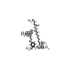 CO[Si](CCCCCCCCCCCNCCN)(OC)OC.CO[Si](CCCOc1cccc(N)c1)(OC)OC